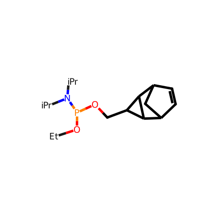 CCOP(OCC1C2C3C=CC(C3)C12)N(C(C)C)C(C)C